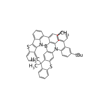 Cc1cc2c3c(c1)N(c1ccc(C(C)(C)C)cc1-c1ccccc1)c1cc4c(cc1B3n1c3c-2cccc3c2sc3ccccc3c21)C(C)(C)c1ccccc1S4